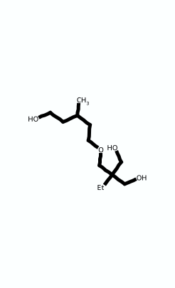 CCC(CO)(CO)COCCC(C)CCO